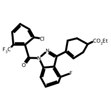 CCOC(=O)C1CC=C(c2nn(C(=O)c3c(Cl)cccc3C(F)(F)F)c3cccc(F)c23)CC1